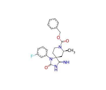 C[C@H]1C[C@@]2(CCN1C(=O)OCc1ccccc1)C(=N)NC(=O)N2c1cccc(F)c1